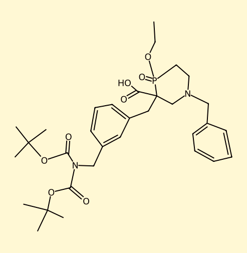 CCOP1(=O)CCN(Cc2ccccc2)CC1(Cc1cccc(CN(C(=O)OC(C)(C)C)C(=O)OC(C)(C)C)c1)C(=O)O